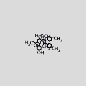 C=C(CC(C[C@H]1CC[C@@H](O)CC1)[C@H](O)CC)[C@@H](C)[C@@H](/C(=C(\CC)C1=CC[C@@H](C)CC1)[C@H]1CC[C@@H](CC)CC1)C(C)C